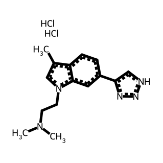 Cc1cn(CCN(C)C)c2cc(-c3c[nH]nn3)ccc12.Cl.Cl